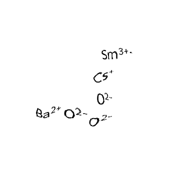 [Ba+2].[Cs+].[O-2].[O-2].[O-2].[Sm+3]